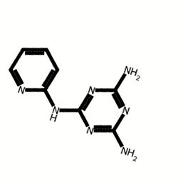 Nc1nc(N)nc(Nc2ccccn2)n1